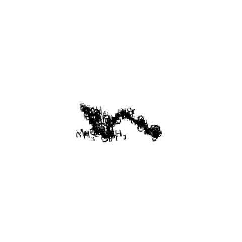 CCC[C@@H]([C@@H](CC(=O)N1CCC[C@H]1[C@H](OC)[C@@H](C)C(=O)N[C@@H](C)C(=O)c1ccc(F)cc1)OC)N(C)C(=O)CNC(=O)C(C(C)C)N(C)C(=O)OCc1ccc(NC(=O)CNC(=O)C(NC(=O)CCCCCN2C(=O)CC(SCC3(CC(=O)ON4C(=O)CCC4=O)CC3)C2=O)C(C)C)cc1